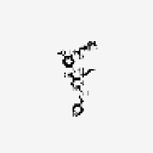 BNCC(=O)Nc1cc(NC(=O)c2cnc(NCCc3ccncc3)nc2NCCC)ccc1OC